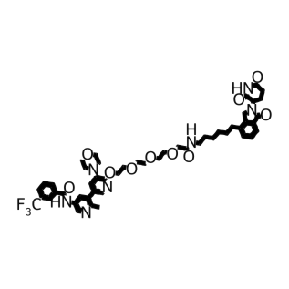 Cc1ncc(NC(=O)c2cccc(C(F)(F)F)c2)cc1-c1cnc(OCCOCCOCCOCC(=O)NCCCCCCc2cccc3c2CN(C2CCC(=O)NC2=O)C3=O)c(N2CCOCC2)c1